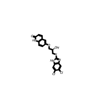 O=c1ccc2cc(OC[C@@H](O)CSc3nc4cc(Cl)c(Cl)cc4[nH]3)ccc2[nH]1